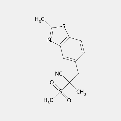 Cc1nc2cc(CC(C)(C#N)S(C)(=O)=O)ccc2s1